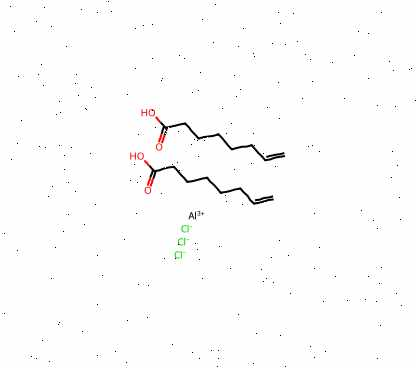 C=CCCCCCC(=O)O.C=CCCCCCC(=O)O.[Al+3].[Cl-].[Cl-].[Cl-]